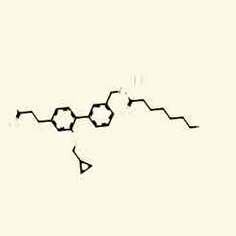 CCCCCCCC(=O)N(C)Cc1cccc(-c2ccc(CCC(=O)O)cc2OCC2CC2)c1